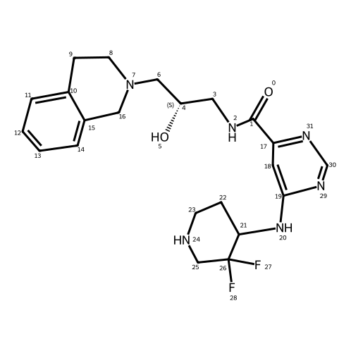 O=C(NC[C@H](O)CN1CCc2ccccc2C1)c1cc(NC2CCNCC2(F)F)ncn1